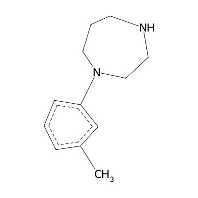 Cc1cccc(N2CCCNCC2)c1